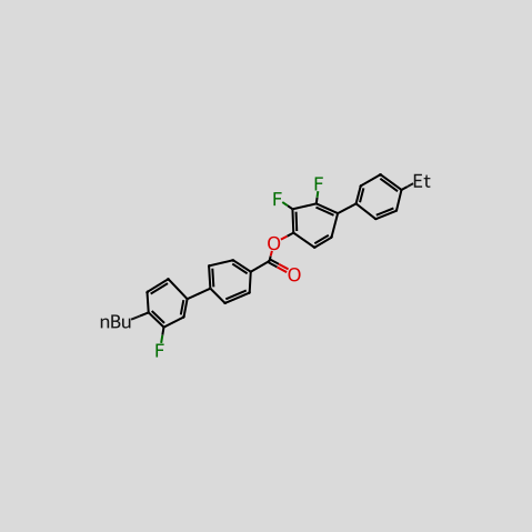 CCCCc1ccc(-c2ccc(C(=O)Oc3ccc(-c4ccc(CC)cc4)c(F)c3F)cc2)cc1F